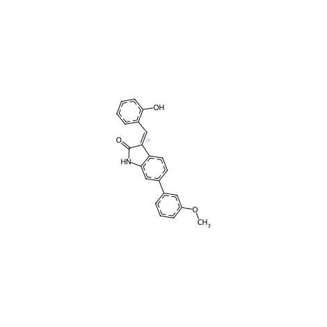 COc1cccc(-c2ccc3c(c2)NC(=O)/C3=C\c2ccccc2O)c1